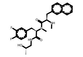 CN[C@H](Cc1ccc2ccccc2c1)C(=O)N(C)[C@H](Cc1ccc(F)c(F)c1)C(=O)NC[C@H](C)O